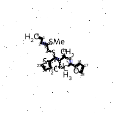 C=C/C=C(/CS/C(=C(/N=C)C(=C)/N=C(\C)c1ccco1)c1cccs1)SC